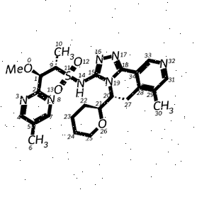 CO[C@H](c1ncc(C)cn1)[C@H](C)S(=O)(=O)Nc1nnc2n1[C@@H]([C@@H]1CCCCO1)Cc1c(C)cncc1-2